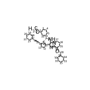 COc1cccc(CNc2c(-c3ccc(C#Cc4ccccc4)s3)nc3c(OCc4ccccc4)cccn23)c1